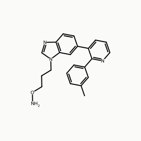 Cc1cccc(-c2ncccc2-c2ccc3ncn(CCCON)c3c2)c1